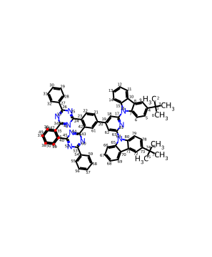 CC(C)(C)c1ccc2c(c1)c1ccccc1n2-c1cc(-c2ccc(-c3nc(-c4ccccc4)nc(-c4ccccc4)n3)c(-c3nc(-c4ccccc4)nc(-c4ccccc4)n3)c2)cc(-n2c3ccccc3c3cc(C(C)(C)C)ccc32)n1